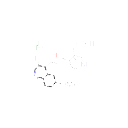 COc1ccc2ncc(F)c([C@@H](O)CC[C@@H]3CCNC[C@@H]3CC(=O)O)c2c1.Cl.Cl